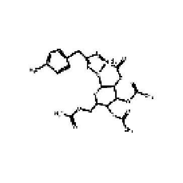 CC(=O)OCC1OC(n2nnc(Cc3ccc(C)cc3)n2)C(OC(C)=O)C(OC(C)=O)C1OC(C)=O